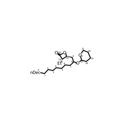 CCCCCCCCCCCCCCCCCC(C[C@@H]1OC(=O)[C@H]1CC)OC1CCCCO1